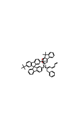 C=C/C=C\C=C(/Cc1ccccc1)N(c1ccc2c(c1)-c1ccccc1C2(C)C)c1ccc2c(c1)C1(c3ccccc3-2)c2cc(C(C)(C)C)ccc2-c2ccc(C(C)(C)C)cc21